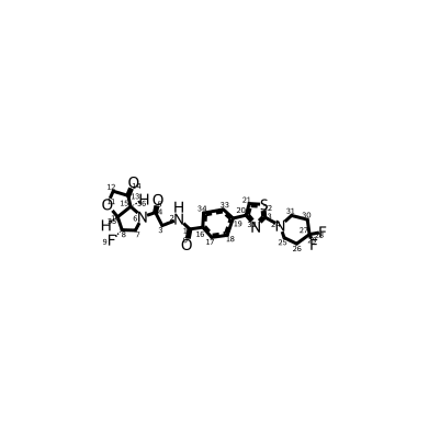 O=C(NCC(=O)N1C[C@H](F)[C@H]2OCC(=O)[C@H]21)c1ccc(-c2csc(N3CCC(F)(F)CC3)n2)cc1